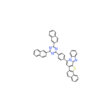 c1ccc2cc(-c3nc(-c4ccc(-c5cc6c7ccc8ccccc8c7sc6c6nc7ccccc7n56)cc4)nc(-c4ccc5ccccc5c4)n3)ccc2c1